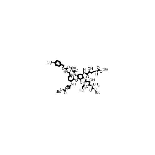 C[C@@H]([C@@H](O)[C@H](OCCO)O[C@@H]1[C@@H](O)[C@H](O[C@H]2OC(CNC(=O)OCc3ccc([N+](=O)[O-])cc3)=CC[C@H]2NC2CN(C(=O)OC(C)(C)C)C2)[C@@H](NC(=O)OC(C)(C)C)C[C@H]1NC(=O)[C@@H](O)CCNC(=O)OC(C)(C)C)N(C)C(=O)OC(C)(C)C